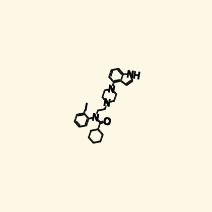 O=C(C1CCCCC1)N(CCN1CCN(c2cccc3[nH]ccc23)CC1)c1ccccc1I